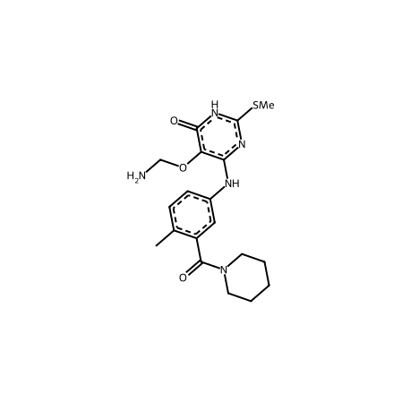 CSc1nc(Nc2ccc(C)c(C(=O)N3CCCCC3)c2)c(OCN)c(=O)[nH]1